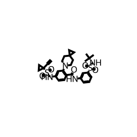 C#CC1(S(=O)(=O)Nc2ccc(C(=O)Nc3cccc(S(=O)(=O)NC(C)(C)C)c3)c(N3CCC4(CC3)CC4)c2)CC1